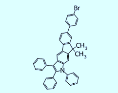 CC1(C)c2cc(-c3ccc(Br)cc3)ccc2-c2cc3c(-c4ccccc4)c(-c4ccccc4)n(-c4ccccc4)c3cc21